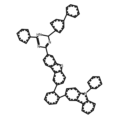 c1ccc(C2=NC(c3ccc4c(c3)sc3ccc(-c5ccccc5-c5ccc6c(c5)c5ccccc5n6-c5ccccc5)cc34)=NC(c3ccc(-c4ccccc4)cc3)N2)cc1